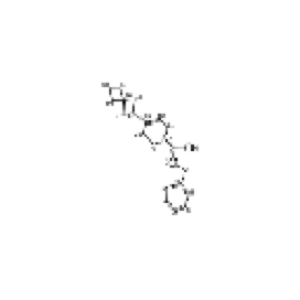 O=C(OCc1ccccc1)N1CC=C(C2CC3(CCC3)C2)CC1